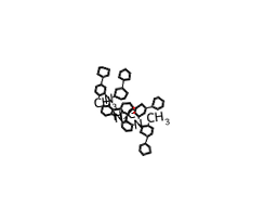 Cc1ccc(-c2ccccc2)cc1N(c1cccc(-c2ccccc2)c1)c1cccc2c1c1cccc3c4c(N(c5cc(-c6ccccc6)ccc5C)c5cc(-c6ccccc6)ccc5C)cccc4n2c13